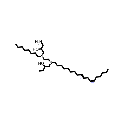 CCCCC/C=C\C/C=C/CCCCCCCCN(CCN(CCCCCCCC)CC(O)CN)CC(O)CC